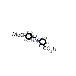 COc1ccc(CNC2C=C(C(=O)O)CCC2)cc1